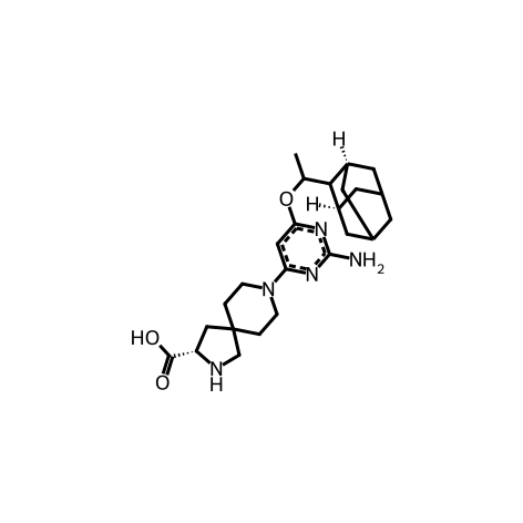 CC(Oc1cc(N2CCC3(CC2)CN[C@H](C(=O)O)C3)nc(N)n1)C1[C@H]2CC3CC(C2)C[C@@H]1C3